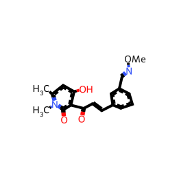 CON=Cc1cccc(C=CC(=O)c2c(O)cc(C)n(C)c2=O)c1